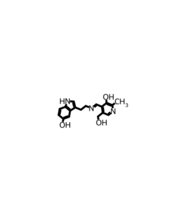 Cc1ncc(CO)c(C=NCCc2c[nH]c3ccc(O)cc23)c1O